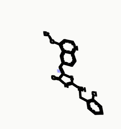 CCOc1ccnc2ccc(/C=C3\SC(NCc4ccccc4Cl)=NC3=O)cc12